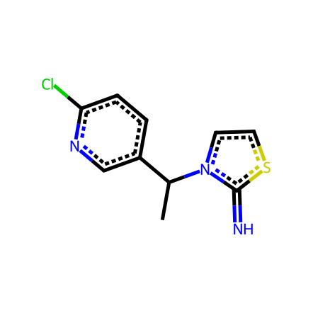 CC(c1ccc(Cl)nc1)n1ccsc1=N